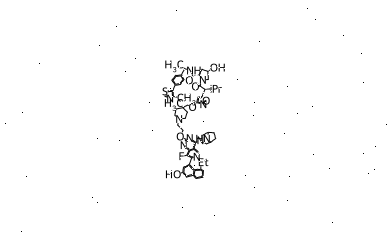 CCc1cccc2cc(O)cc(-c3ncc4c(N5CC6CCC(C5)N6)nc(OCCN5CCC(C)(COc6cc([C@@H](C(=O)N7C[C@H](O)C[C@H]7C(=O)N[C@@H](C)c7ccc(-c8scnc8C)cc7)C(C)C)on6)CC5)nc4c3F)c12